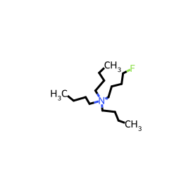 CCCC[N+](CCCC)(CCCC)CCCCF